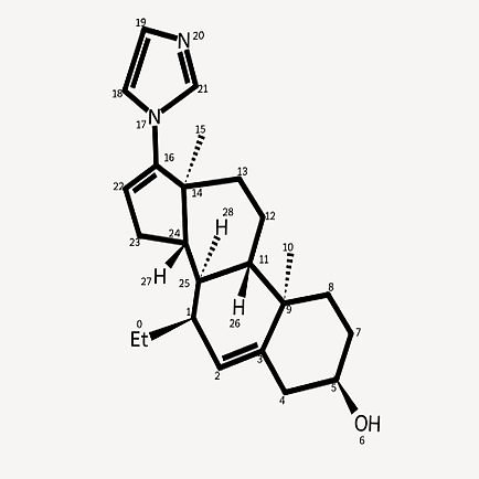 CC[C@@H]1C=C2C[C@H](O)CC[C@]2(C)[C@H]2CC[C@]3(C)C(n4ccnc4)=CC[C@H]3[C@H]12